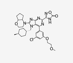 COCCOc1cc(Cl)cc(-c2nc(-c3noc(=O)[nH]3)nc3nc(N4CCOC5CCCC54)n(C[C@H]4CC[C@H](C)CC4)c23)c1